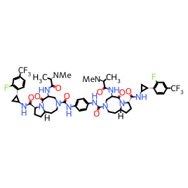 CN[C@@H](C)C(=O)N[C@H]1CN(C(=O)Nc2ccc(NC(=O)N3CC[C@H]4CC[C@@H](C(=O)N[C@H]5C[C@@H]5c5ccc(C(F)(F)F)cc5F)N4C(=O)[C@H](NC(=O)[C@H](C)NC)C3)cc2)CC[C@H]2CC[C@@H](C(=O)N[C@H]3C[C@@H]3c3ccc(C(F)(F)F)cc3F)N2C1=O